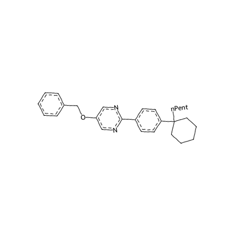 CCCCCC1(c2ccc(-c3ncc(OCc4ccccc4)cn3)cc2)CCCCC1